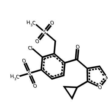 CS(=O)(=O)Cc1c(C(=O)c2cnoc2C2CC2)ccc(S(C)(=O)=O)c1Cl